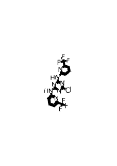 FC(F)(F)c1cccc(Nc2nc(Cl)nc(Nc3cccc(C(F)(F)F)n3)n2)n1